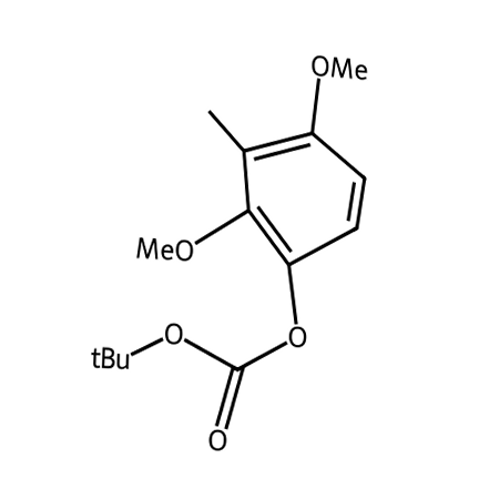 COc1ccc(OC(=O)OC(C)(C)C)c(OC)c1C